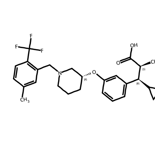 Cc1ccc(C(F)(F)F)c(CN2CCC[C@@H](Oc3cccc([C@H](C4CC4)[C@H](C)C(=O)O)c3)C2)c1